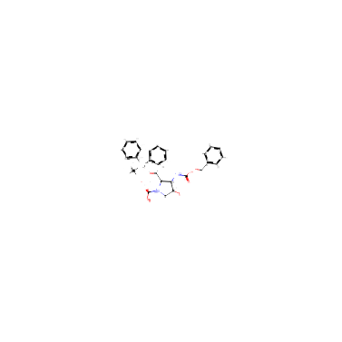 CC(C)(C)[Si](OCC1C(NC(=O)OCc2ccccc2)C(O)CN1C(=O)O)(c1ccccc1)c1ccccc1